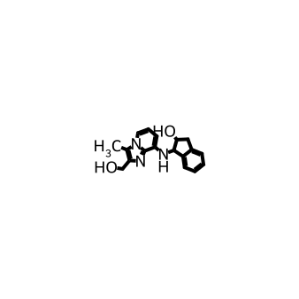 Cc1c(CO)nc2c(NC3c4ccccc4CC3O)cccn12